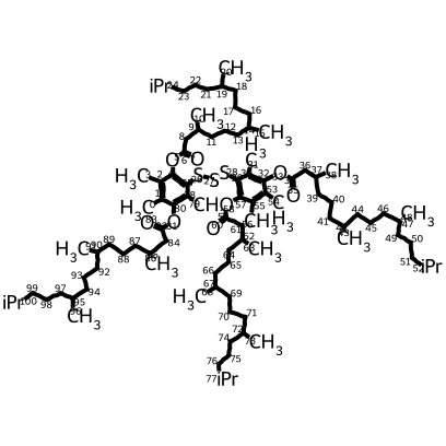 Cc1c(C)c(OC(=O)CC(C)CCCC(C)CCCC(C)CCCC(C)C)c(SSSc2c(C)c(OC(=O)CC(C)CCCC(C)CCCC(C)CCCC(C)C)c(C)c(C)c2OC(=O)CC(C)CCCC(C)CCCC(C)CCCC(C)C)c(C)c1OC(=O)CC(C)CCCC(C)CCCC(C)CCCC(C)C